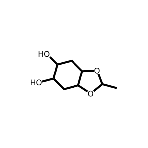 CC1OC2CC(O)C(O)CC2O1